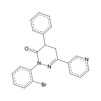 O=C1C(c2ccccc2)CC(c2cccnc2)=NN1c1ccccc1Br